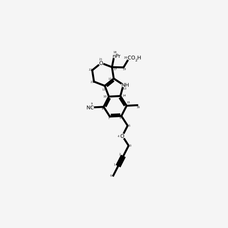 CC#CCOCc1cc(C#N)c2c3c([nH]c2c1C)C(CCC)(CC(=O)O)OCC3